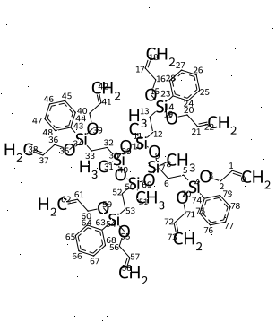 C=CCO[Si](CC[Si]1(C)O[Si](C)(CC[Si](OCC=C)(OCC=C)c2ccccc2)O[Si](C)(CC[Si](OCC=C)(OCC=C)c2ccccc2)O[Si](C)(CC[Si](OCC=C)(OCC=C)c2ccccc2)O1)(OCC=C)c1ccccc1